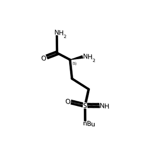 CCCCS(=N)(=O)CC[C@H](N)C(N)=O